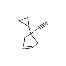 N#CC1(C2CC2)CC=CC1